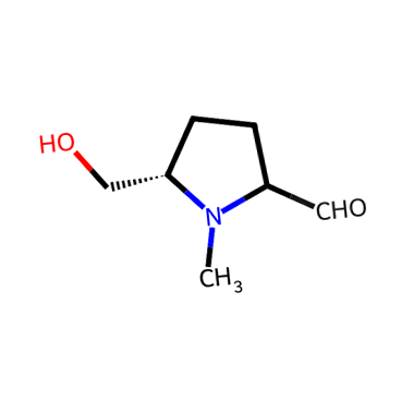 CN1C(C=O)CC[C@H]1CO